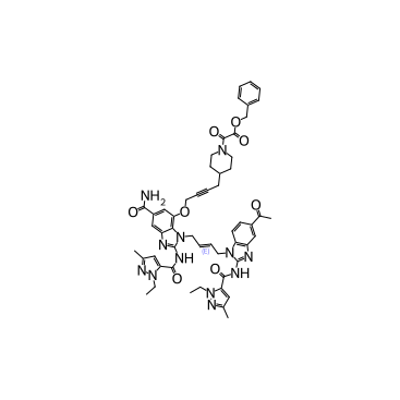 CCn1nc(C)cc1C(=O)Nc1nc2cc(C(C)=O)ccc2n1C/C=C/Cn1c(NC(=O)c2cc(C)nn2CC)nc2cc(C(N)=O)cc(OCC#CCC3CCN(C(=O)C(=O)OCc4ccccc4)CC3)c21